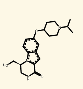 CC(C)N1CCC(Oc2ccc3c(c2)cc2n3[C@H](CO)CNC2=O)CC1